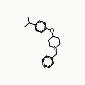 CC(C)c1ccc(OC2CCN(Cc3ccncc3)CC2)cc1